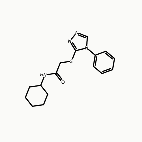 O=C(CSc1nncn1-c1ccccc1)NC1CCCCC1